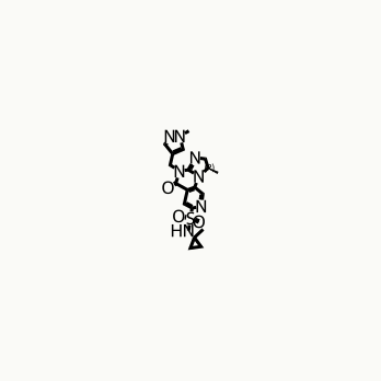 C[C@@H]1CN=C2N(Cc3cnn(C)c3)C(=O)c3cc(S(=O)(=O)NC4(C)CC4)ncc3N21